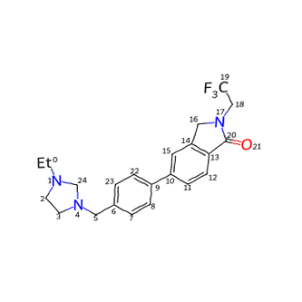 CCN1CCN(Cc2ccc(-c3ccc4c(c3)CN(CC(F)(F)F)C4=O)cc2)C1